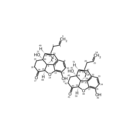 C=CCN1CC[C@]23c4c5ccc(O)c4O[C@H]2C(=O)CC[C@@]3(O)[C@H]1C5.C=CCN1CC[C@]23c4c5ccc(O)c4O[C@H]2C(=O)CC[C@@]3(O)[C@H]1C5